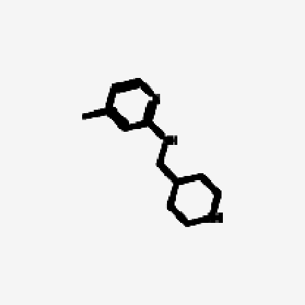 Cc1ccnc(NCC2CCNCC2)c1